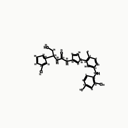 Cc1cnc(Nc2ccc(F)cc2Cl)nc1-n1cc(NC(=O)NC(CO)c2cccc(Cl)c2)cn1